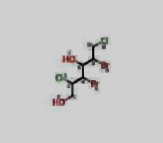 OCC(Cl)C(Br)C(O)C(Br)CCl